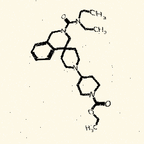 CCOC(=O)N1CCC(N2CCC3(CC2)CN(C(=O)N(CC)CC)Cc2ccccc23)CC1